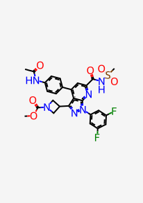 COC(=O)N1CC(c2nn(-c3cc(F)cc(F)c3)c3nc(C(=O)NS(C)(=O)=O)cc(-c4ccc(NC(C)=O)cc4)c23)C1